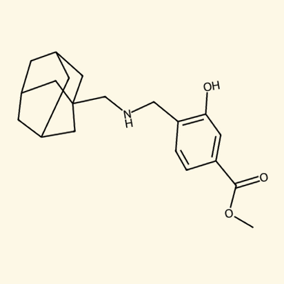 COC(=O)c1ccc(CNCC23CC4CC(CC(C4)C2)C3)c(O)c1